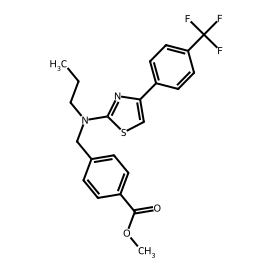 CCCN(Cc1ccc(C(=O)OC)cc1)c1nc(-c2ccc(C(F)(F)F)cc2)cs1